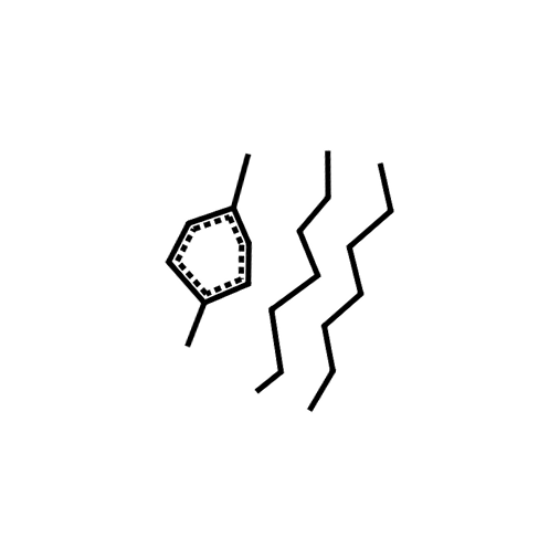 CCCCCCC.CCCCCCC.Cc1ccc(C)cc1